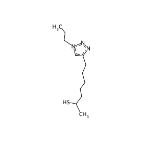 CCCn1cc(CCCCCC(C)S)nn1